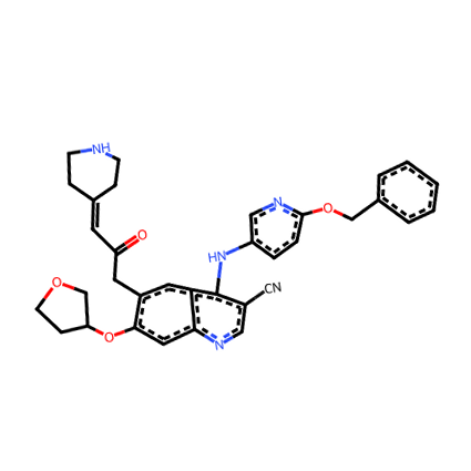 N#Cc1cnc2cc(OC3CCOC3)c(CC(=O)C=C3CCNCC3)cc2c1Nc1ccc(OCc2ccccc2)nc1